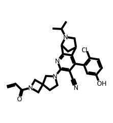 C=CC(=O)N1CC2(CCN(c3nc4c(c(-c5cc(O)ccc5Cl)c3C#N)C3CC4N(C(C)C)C3)C2)C1